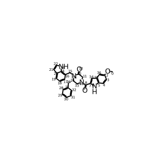 COc1ccc2[nH]c(C(=O)N3CC(=O)N(Cc4cccc5cc[nH]c45)[C@@H](Cc4ccccc4)C3)cc2c1